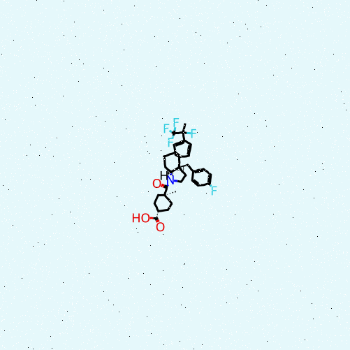 CC(F)(c1ccc2c(c1)CC[C@H]1N(C(=O)[C@]3(C)CC[C@@H](C(=O)O)CC3)CC[C@@]21Cc1ccc(F)cc1)C(F)(F)F